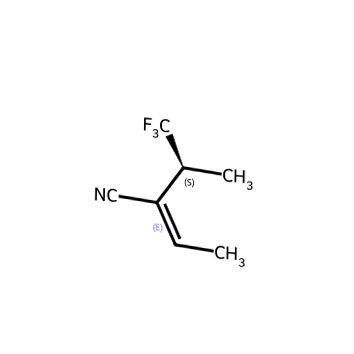 C/C=C(/C#N)[C@H](C)C(F)(F)F